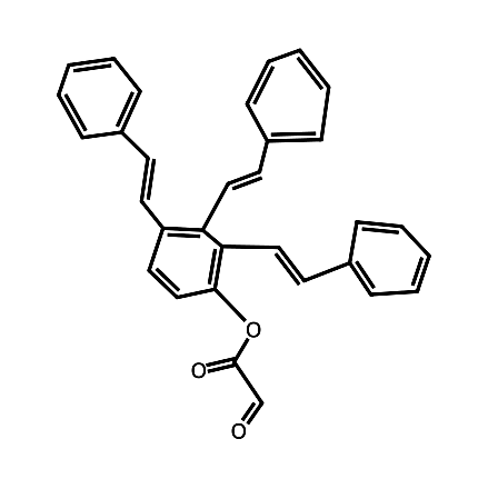 O=CC(=O)Oc1ccc(C=Cc2ccccc2)c(C=Cc2ccccc2)c1C=Cc1ccccc1